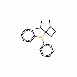 CC(C)C1(P(c2ccccc2)c2ccccc2)CCC1C